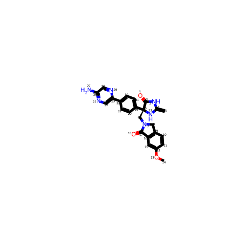 C=C1NC(=O)[C@@](CN2Cc3ccc(OC)cc3C2=O)(c2ccc(-c3cnc(N)cn3)cc2)N1